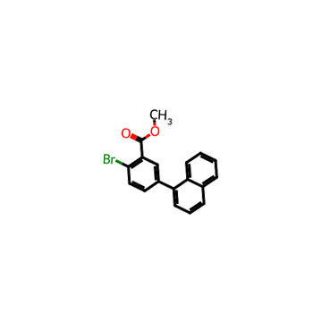 COC(=O)c1cc(-c2cccc3ccccc23)ccc1Br